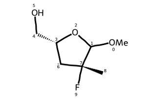 COC1O[C@@H](CO)[CH][C@@]1(C)F